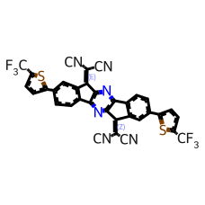 [C-]#[N+]/C(C#N)=C1/c2cc(-c3ccc(C(F)(F)F)s3)ccc2-c2nc3c(nc21)-c1ccc(-c2ccc(C(F)(F)F)s2)cc1/C3=C(/C#N)[N+]#[C-]